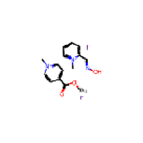 CCC(C)OC(=O)c1cc[n+](C)cc1.C[n+]1ccccc1C=NO.[I-].[I-]